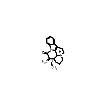 C=C1C(=O)n2c3c(c4ccccc42)CCN2CCC[C@]1(CC)[C@@H]32